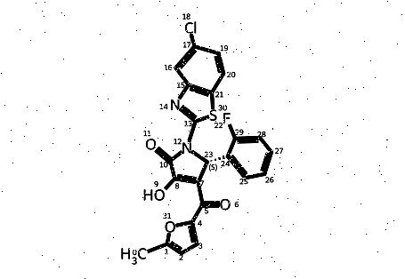 Cc1ccc(C(=O)C2=C(O)C(=O)N(c3nc4cc(Cl)ccc4s3)[C@@H]2c2ccccc2F)o1